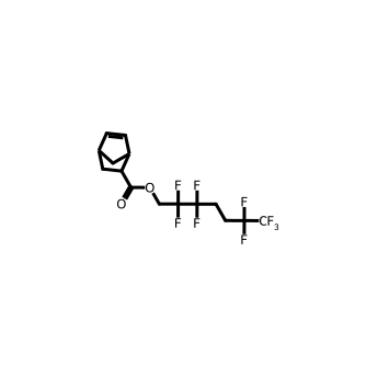 O=C(OCC(F)(F)C(F)(F)CCC(F)(F)C(F)(F)F)C1CC2C=CC1C2